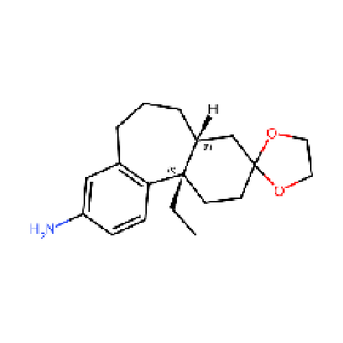 CC[C@]12CCC3(C[C@H]1CCCc1cc(N)ccc12)OCCO3